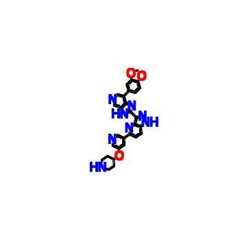 c1ncc(-c2ccc3[nH]nc(-c4nc5c(-c6ccc7c(c6)OCO7)cncc5[nH]4)c3n2)cc1OC1CCNCC1